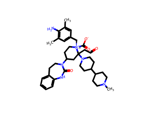 Cc1cc(C[N@+]2(C(=O)[O-])CCC(N3CCc4ccccc4NC3=O)CC2(CC=O)N2CCC(C3CCN(C)CC3)CC2)cc(C)c1N